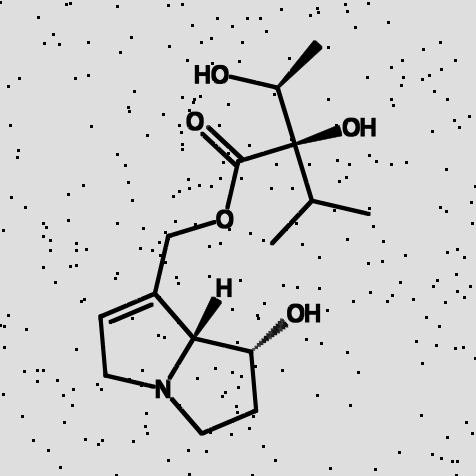 CC(C)[C@](O)(C(=O)OCC1=CCN2CC[C@@H](O)[C@@H]12)[C@H](C)O